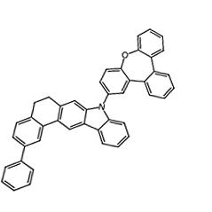 c1ccc(-c2ccc3c(c2)-c2cc4c5ccccc5n(-c5ccc6c(c5)-c5ccccc5-c5ccccc5O6)c4cc2CC3)cc1